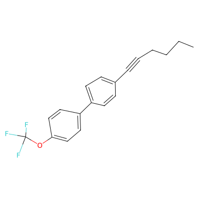 CCCCC#Cc1ccc(-c2ccc(OC(F)(F)F)cc2)cc1